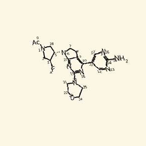 CC(=O)N1C[C@H](F)[C@@H](N2CCc3c(-c4cnc(N)nc4)nc(N4CCOCC4)nc32)C1